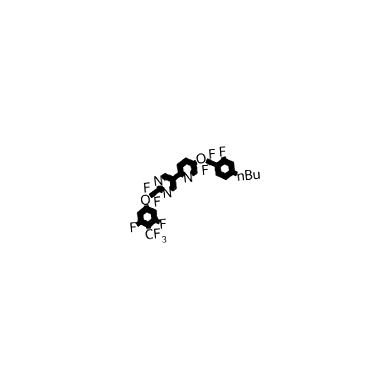 CCCCc1ccc(C(F)(F)Oc2ccc(-c3cnc(C(F)(F)Oc4cc(F)c(C(F)(F)F)c(F)c4)nc3)nc2)c(F)c1